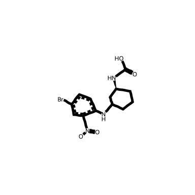 O=C(O)N[C@H]1CCCC(Nc2ccc(Br)cc2[N+](=O)[O-])C1